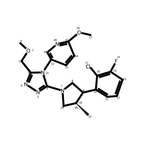 COCc1nnc(N2CC(c3cccc(F)c3Cl)[C@@H](C)C2)n1-c1ccc(OC)nc1